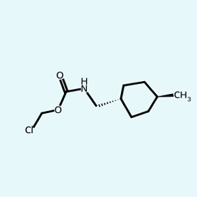 C[C@H]1CC[C@H](CNC(=O)OCCl)CC1